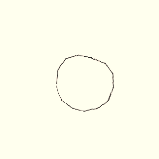 C1CCCCCCCCCCCC1